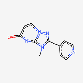 Cn1c(-c2ccncc2)nn2ccc(=O)nc12